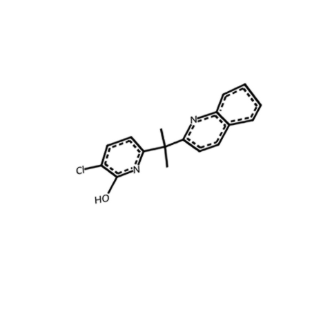 CC(C)(c1ccc(Cl)c(O)n1)c1ccc2ccccc2n1